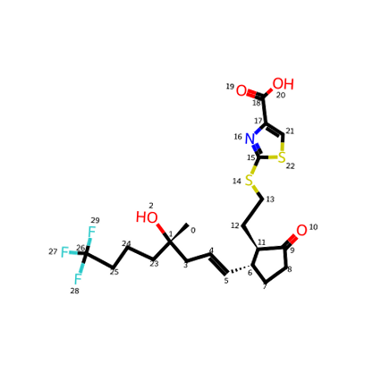 C[C@@](O)(C/C=C/[C@H]1CCC(=O)[C@@H]1CCSc1nc(C(=O)O)cs1)CCCC(F)(F)F